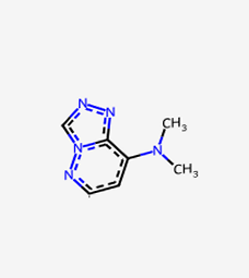 CN(C)c1c[c]nn2cnnc12